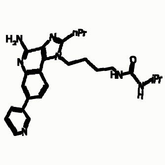 CCCc1nc2c(N)nc3cc(-c4cccnc4)ccc3c2n1CCCCNC(=O)NC(C)C